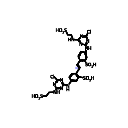 O=S(=O)(O)CCNc1nc(Cl)nc(Nc2ccc(/C=C/c3ccc(Nc4nc(Cl)nc(NCCS(=O)(=O)O)n4)cc3S(=O)(=O)O)c(S(=O)(=O)O)c2)n1